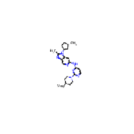 COC1CCN(c2nccc(Nc3cc4c(cn3)nc(C)n4C3CC[C@H](C)C3)n2)CC1